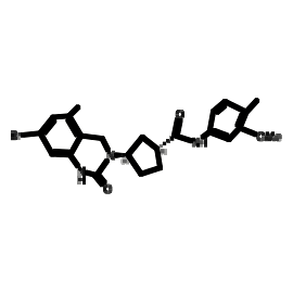 COc1cc(NC(=O)[C@@H]2CC[C@@H](N3Cc4c(C)cc(Br)cc4NC3=O)C2)ccc1C